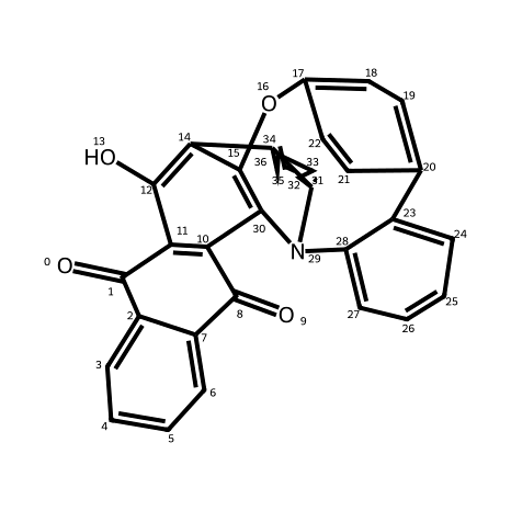 O=c1c2ccccc2c(=O)c2c1c(O)c1c3oc4ccc(cc4)c4ccccc4n(c32)-c2ccccc2-1